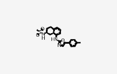 Cc1ccc(-c2cnc(Nc3cccc4c3CC(NS(C)(=O)=O)CC4)o2)cc1